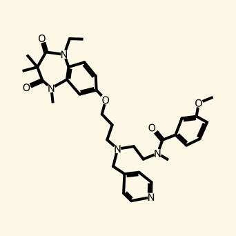 CCN1C(=O)C(C)(C)C(=O)N(C)c2cc(OCCCN(CCN(C)C(=O)c3cccc(OC)c3)Cc3ccncc3)ccc21